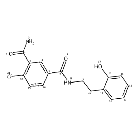 NC(=O)c1cc(C(=O)NCCc2ccccc2O)ccc1Cl